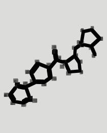 CC1CCCN1CC1CCCN1C(=O)c1ccc(-c2ncccn2)cc1